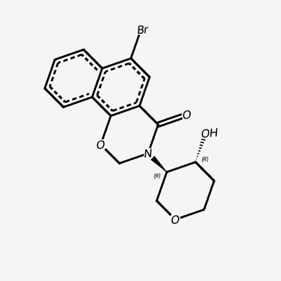 O=C1c2cc(Br)c3ccccc3c2OCN1[C@@H]1COCC[C@H]1O